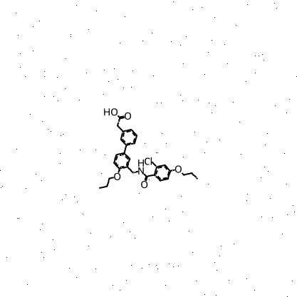 CCCOc1ccc(C(=O)NCc2cc(-c3cccc(CC(=O)O)c3)ccc2OCCC)c(Cl)c1